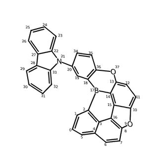 c1cc2c3c(c1)ccc1oc4ccc5c(c4c13)B2c1cc(-n2c3ccccc3c3ccccc32)ccc1O5